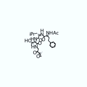 CC(=O)N[C@@H](CCc1ccccc1)C(=O)N[C@@H](CC(C)C)C(=O)N[C@H](C(=O)NCC(=O)[C@@]1(C)CO1)[C@@H](C)O